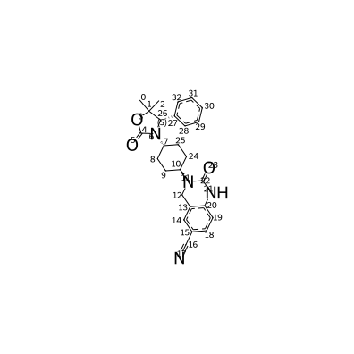 CC1(C)OC(=O)N([C@H]2CC[C@H](N3Cc4cc(C#N)ccc4NC3=O)CC2)[C@H]1c1ccccc1